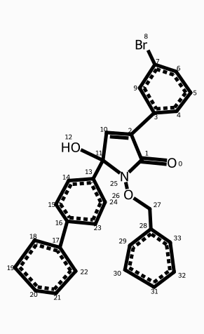 O=C1C(c2cccc(Br)c2)=CC(O)(c2ccc(-c3ccccc3)cc2)N1OCc1ccccc1